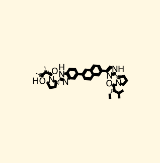 CC[C@H](C(=O)N1CCC[C@H]1c1nc(-c2ccc3cc(-c4ccc5[nH]c([C@@H]6CCCN6C(=O)[C@@H](C)[C@@H](C)O)nc5c4)ccc3c2)c[nH]1)C(C)C